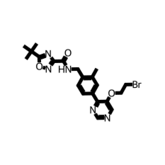 Cc1cc(-c2ncncc2OCCBr)ccc1CNC(=O)c1noc(C(C)(C)C)n1